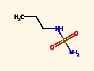 CCCNS(N)(=O)=O